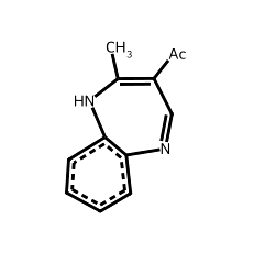 CC(=O)C1=C(C)Nc2ccccc2N=C1